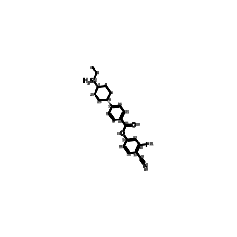 CC[SiH2][C@H]1CC[C@H](c2ccc(C(=O)Oc3ccc(C#N)c(F)c3)cc2)CC1